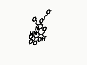 COCCCOc1cc2c(nc1CCOC)-c1[nH]c(=O)c(C(=O)OC)c(O)c1C(C(C)C)CO2